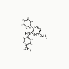 Cc1ccc(Nc2nc(N)nnc2-c2ccccc2)cc1